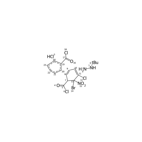 CC(C)(C)NN.Cl.O=C(Cl)C1C=CC=C(Cl)C1(Br)[N+](=O)[O-].O=C(Cl)c1ccccc1